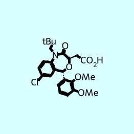 COc1cccc([C@H]2O[C@H](CC(=O)O)C(=O)N(CC(C)(C)C)c3ccc(Cl)cc32)c1OC